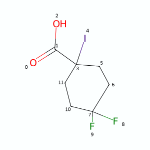 O=C(O)C1(I)CCC(F)(F)CC1